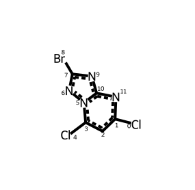 Clc1cc(Cl)n2nc(Br)nc2n1